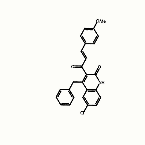 COc1ccc(/C=C/C(=O)c2c(Cc3ccccc3)c3cc(Cl)ccc3[nH]c2=O)cc1